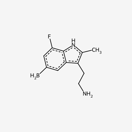 Bc1cc(F)c2[nH]c(C)c(CCN)c2c1